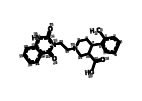 Cc1ccccc1C1CCN(CCn2c(=O)[nH]c3ccccc3c2=O)CC1C(=O)O